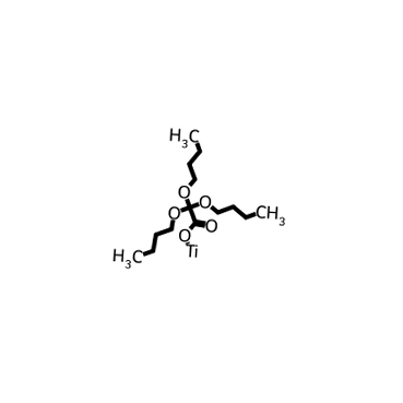 CCCCOC(OCCCC)(OCCCC)C(=O)[O][Ti]